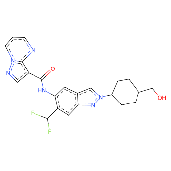 O=C(Nc1cc2cn(C3CCC(CO)CC3)nc2cc1C(F)F)c1cnn2cccnc12